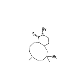 CCC(C)C1(C)CCC(C)CCCC2C(=S)N(C(C)C)CCC2C1